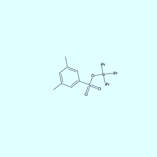 Cc1cc(C)cc(S(=O)(=O)O[Si](C(C)C)(C(C)C)C(C)C)c1